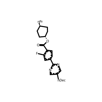 CCCCCCCCCCc1cnc(-c2ccc(C(=O)O[C@H]3CC[C@H](CCC)CC3)c(F)c2)nc1